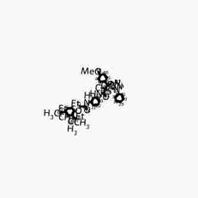 CCC(Oc1ccc(C(C)(C)CC)cc1C(C)(C)CC)C(=O)Nc1cccc(NC(=O)C(Cl)(Sc2nnnn2-c2ccccc2)C(=O)c2ccc(OC)cc2)c1